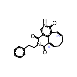 O=C1/C2=C/CC/C=C\c3c2c(c[nH]c3=O)C(=O)N1CCc1ccccc1